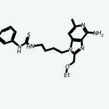 CCOCc1nc2c(N)nc(C)cc2n1CCCCNC(=S)Nc1ccccc1